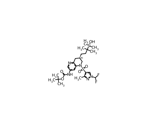 Cc1nn(C(F)F)cc1S(=O)(=O)N1C[C@H](CCC(C)(C)[Si](C)(C)O)Cc2ncc(NC(=O)OC(C)(C)C)cc21